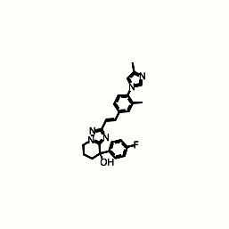 Cc1cn(-c2ccc(/C=C/c3nc4n(n3)CCC[C@@]4(O)c3ccc(F)cc3)cc2C)cn1